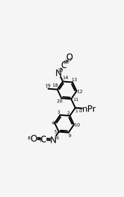 CCCC(c1ccc(N=C=O)cc1)c1ccc(N=C=O)c(C)c1